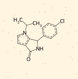 CC(C)n1ccc2c1C(c1ccc(Cl)cc1)NC2=O